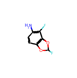 Nc1ccc2c(c1F)OC(F)O2